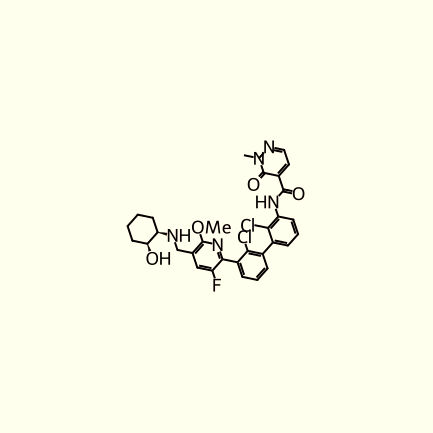 COc1nc(-c2cccc(-c3cccc(NC(=O)c4ccnn(C)c4=O)c3Cl)c2Cl)c(F)cc1CN[C@@H]1CCCC[C@@H]1O